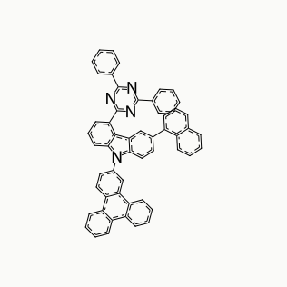 c1ccc(-c2nc(-c3ccccc3)nc(-c3cccc4c3c3cc(-c5cccc6ccccc56)ccc3n4-c3ccc4c5ccccc5c5ccccc5c4c3)n2)cc1